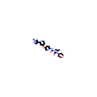 CC1CN(C(=O)Nc2ccc(Oc3ccnc(-c4cnn(C)c4)c3)cn2)C(=O)N1C1CCOCC1